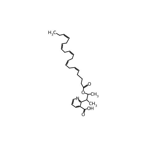 CC/C=C\C/C=C\C/C=C\C/C=C\C/C=C\CCCC(=O)OC(C)C(C)c1ncccc1C(=O)O